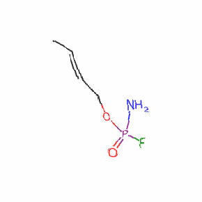 CC=CCOP(N)(=O)F